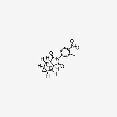 Cc1cc(N2C(=O)[C@@H]3[C@@H]4CC[C@@H]([C@@H]5C[C@@H]54)[C@@H]3C2=O)ccc1[N+](=O)[O-]